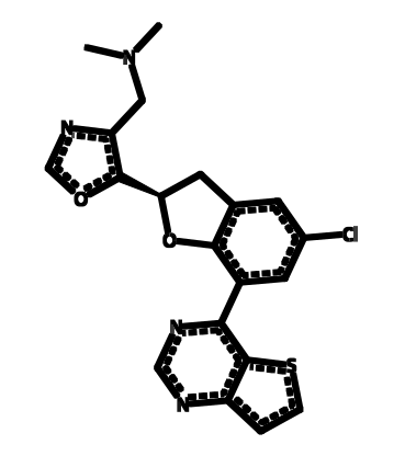 CN(C)Cc1ncoc1[C@H]1Cc2cc(Cl)cc(-c3ncnc4ccsc34)c2O1